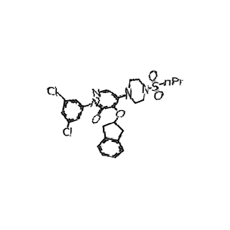 CCCS(=O)(=O)N1CCN(c2cnn(-c3cc(Cl)cc(Cl)c3)c(=O)c2OC2Cc3ccccc3C2)CC1